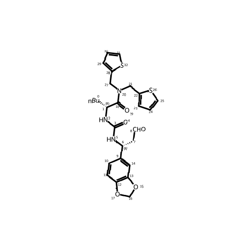 CCCC[C@@H](NC(=O)N[C@H](CC=O)c1ccc2c(c1)OCO2)C(=O)N(Cc1cccs1)Cc1cccs1